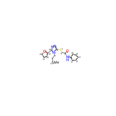 CSCCn1c(SCC(=O)Nc2ccccc2)nnc1-c1ccco1